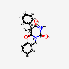 CN1C(=O)N(Cc2ccccc2)C(=O)C(C)(c2ccccc2)C1=O